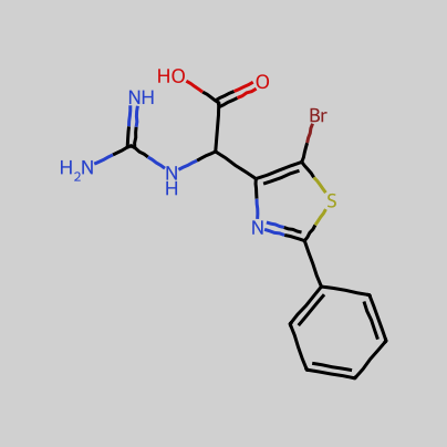 N=C(N)NC(C(=O)O)c1nc(-c2ccccc2)sc1Br